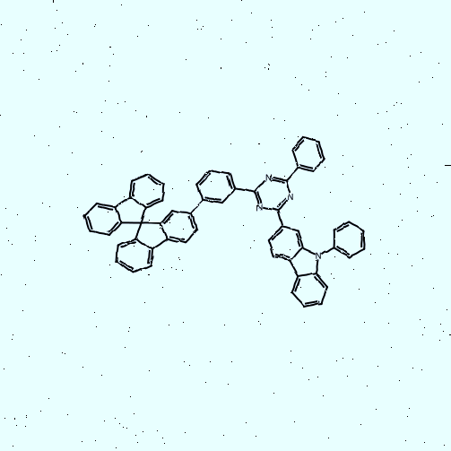 c1ccc(-c2nc(-c3cccc(-c4ccc5c(c4)C4(c6ccccc6-c6ccccc64)c4ccccc4-5)c3)nc(-c3ccc4c5ccccc5n(-c5ccccc5)c4c3)n2)cc1